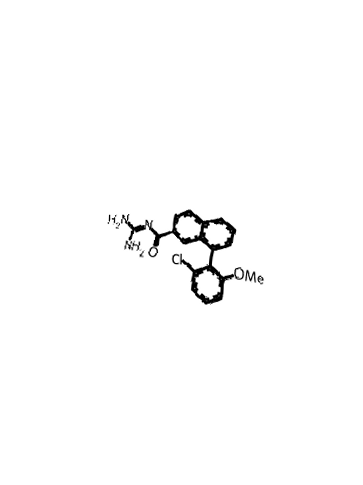 COc1cccc(Cl)c1-c1cccc2ccc(C(=O)N=C(N)N)cc12